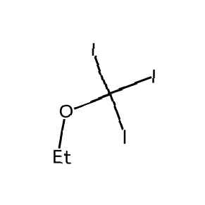 CCOC(I)(I)I